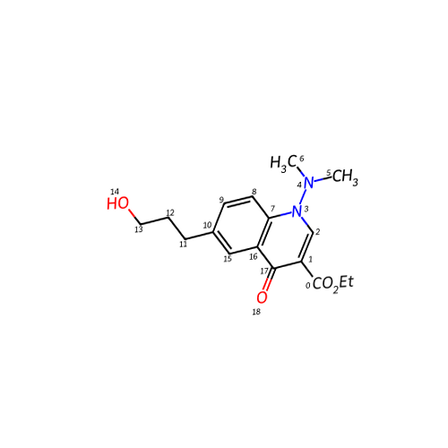 CCOC(=O)c1cn(N(C)C)c2ccc(CCCO)cc2c1=O